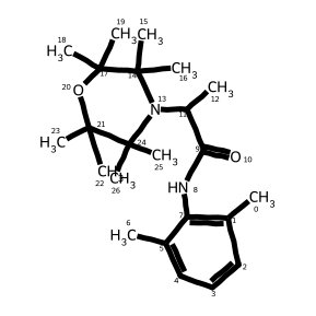 Cc1cccc(C)c1NC(=O)C(C)N1C(C)(C)C(C)(C)OC(C)(C)C1(C)C